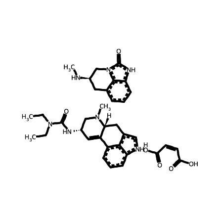 CCN(CC)C(=O)N[C@H]1C=C2c3cccc4[nH]cc(c34)C[C@H]2N(C)C1.CN[C@@H]1Cc2cccc3[nH]c(=O)n(c23)C1.O=C(O)/C=C\C(=O)O